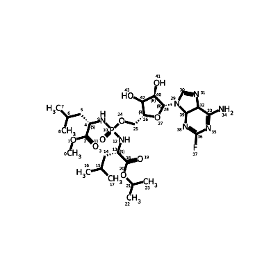 COC(=O)[C@H](CC(C)C)NP(=O)(N[C@@H](CC(C)C)C(=O)OC(C)C)OC[C@H]1O[C@@H](N2C=NC3C(N)=NC(F)=NC32)[C@H](O)C1O